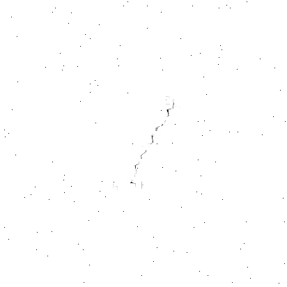 [CH2]COCCOCCOCCOCCOCCOC(=C)C